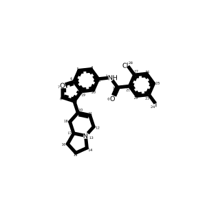 O=C(Nc1ccc2occ(C3=CCN4CCCC4C3)c2c1)c1cc(I)ccc1Cl